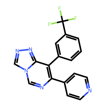 FC(F)(F)c1cccc(-c2c(-c3ccncc3)ncn3cnnc23)c1